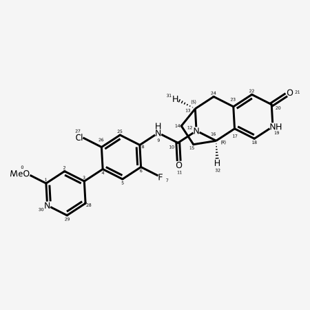 COc1cc(-c2cc(F)c(NC(=O)N3[C@H]4CC[C@@H]3c3c[nH]c(=O)cc3C4)cc2Cl)ccn1